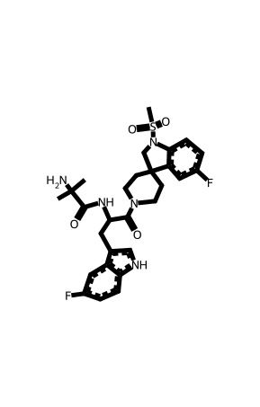 CC(C)(N)C(=O)NC(Cc1c[nH]c2ccc(F)cc12)C(=O)N1CCC2(CC1)CN(S(C)(=O)=O)c1ccc(F)cc12